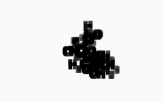 CCOc1c([C@@H](C)NN(C(=O)O)C(C)(C)C)cc(Cl)c(F)c1C1CNC(=O)C1